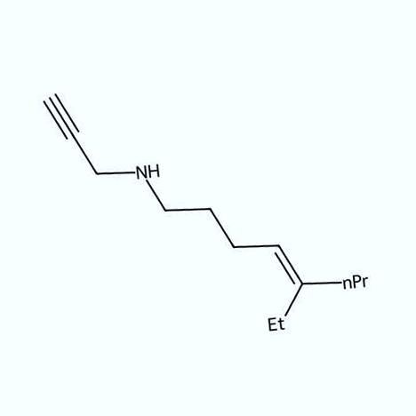 C#CCNCCC/C=C(\CC)CCC